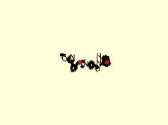 CCOc1cncc(-c2ccccc2CN2CCN(c3ccc(C(=O)NCC45CC6CC(CC(C6)C4)C5)cc3)CC2)c1